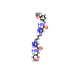 O=C(NCc1cccc(OC(F)(F)F)c1)c1cn(CCCCn2cc(C(=O)NCC3CCCOC3)nn2)nn1